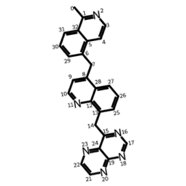 Cc1nccc2c(Cc3ccnc4c(Cc5ncnc6nccnc56)cccc34)cccc12